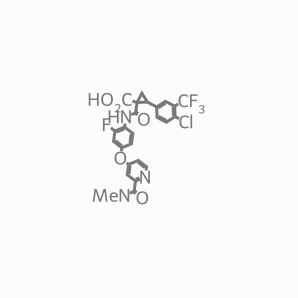 CNC(=O)c1cc(Oc2ccc(NC(=O)C3(C(=O)O)CC3c3ccc(Cl)c(C(F)(F)F)c3)c(F)c2)ccn1